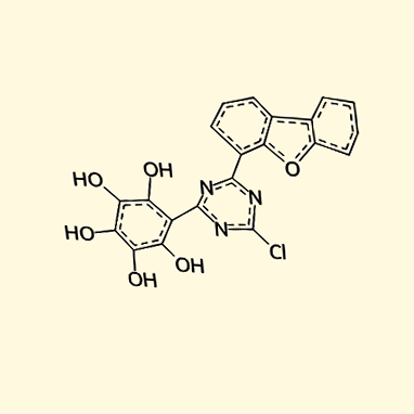 Oc1c(O)c(O)c(-c2nc(Cl)nc(-c3cccc4c3oc3ccccc34)n2)c(O)c1O